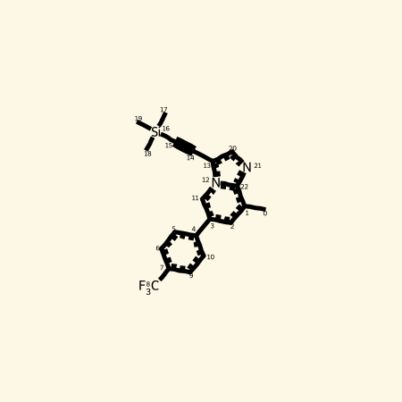 Cc1cc(-c2ccc(C(F)(F)F)cc2)cn2c(C#C[Si](C)(C)C)cnc12